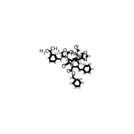 CC(C)c1cccc(C[C@H]2COC(=O)N2C2C(=O)N(C(C(=O)OCc3ccccc3)[C@@H](CC(=O)NNC=O)Cc3ccccc3)C2CCc2cocn2)c1